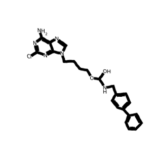 Nc1nc(Cl)nc2c1ncn2CCCCOC(O)NCc1ccc(-c2ccccc2)cc1